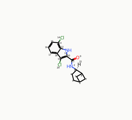 O=C(N[C@@H]1CCC2CC1C2)c1[nH]c2c(Cl)cccc2c1Cl